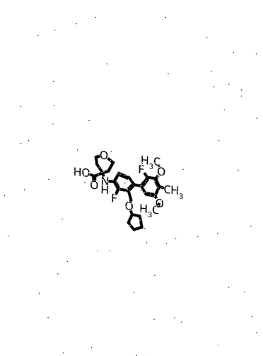 COc1cc(-c2ccc(NC3(C(=O)O)CCOCC3)c(F)c2COC2CCCC2)c(F)c(OC)c1C